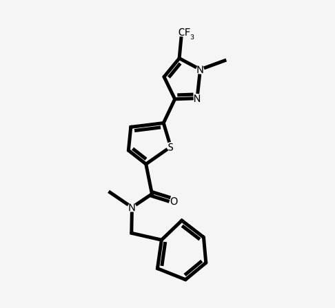 CN(Cc1ccccc1)C(=O)c1ccc(-c2cc(C(F)(F)F)n(C)n2)s1